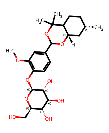 COc1cc(C2O[C@H]3C[C@@H](C)CCC3C(C)(C)O2)ccc1O[C@@H]1O[C@H](CO)[C@@H](O)[C@H](O)[C@H]1O